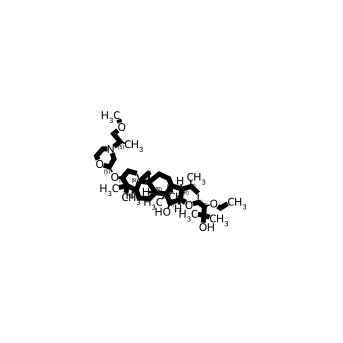 CCO[C@@H]([C@H]1C[C@@H](C)[C@H]2[C@H](O1)[C@H](O)[C@@]1(C)[C@@H]3CC[C@H]4C(C)(C)[C@@H](O[C@H]5CN([C@@H](C)COC)CCO5)CC[C@@]45C[C@@]35CC[C@]21C)C(C)(C)O